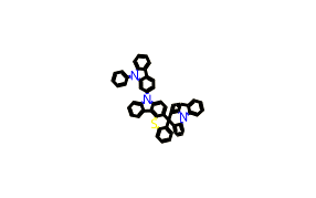 c1ccc(-n2c3ccccc3c3ccc(-n4c5ccccc5c5c6c(ccc54)C4(c5ccccc5S6)c5ccccc5-n5c6ccccc6c6cccc4c65)cc32)cc1